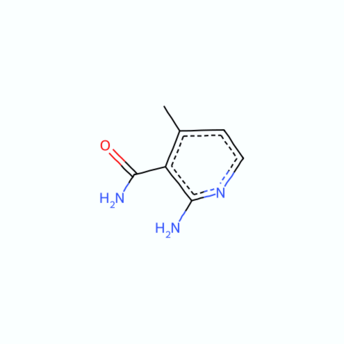 Cc1ccnc(N)c1C(N)=O